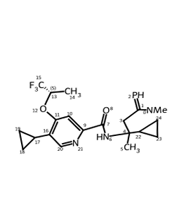 CNC(=P)CC(C)(NC(=O)c1cc(O[C@@H](C)C(F)(F)F)c(C2CC2)cn1)C1CC1